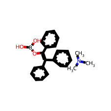 CN(C)C.OB(O)OC(=C(c1ccccc1)c1ccccc1)c1ccccc1